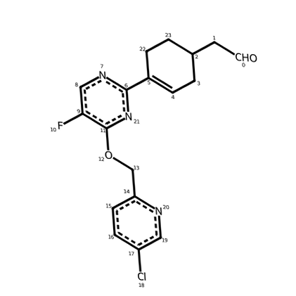 O=CCC1CC=C(c2ncc(F)c(OCc3ccc(Cl)cn3)n2)CC1